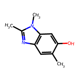 Cc1cc2nc(C)n(C)c2cc1O